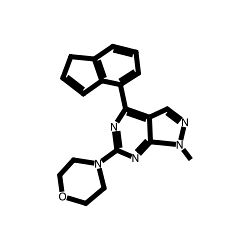 Cn1ncc2c(-c3cccc4c3C=CC4)nc(N3CCOCC3)nc21